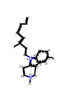 C=C/C=C\C=C(/C)CCn1c2c(c3cc(C)ccc31)CN(C)CC2